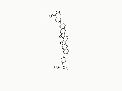 CC(C)C1CCN(c2ccc3cc4c(cc3c2)oc2c4ccc3c4cc5ccc(N6CCC(C(C)C)CC6)cc5cc4oc32)CC1